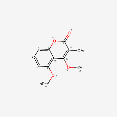 CCCCCCCCCCOc1cccc2oc(=O)c(OC(C)=O)c(OC(C)C)c12